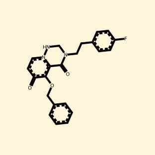 O=C1c2c(OCc3ccccc3)c(=O)ccn2NCN1CCc1ccc(F)cc1